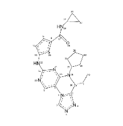 CC[C@@H]1c2nncn2-c2cnc(Nc3ccc(C(=O)NC4CC4)s3)nc2N1C1CCCC1